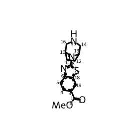 COC(=O)c1ccc2nc(N3C4CCC3CNC4)sc2c1